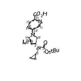 CC(C)(C)OC(=O)N(C1CC1)[C@@H]1CCN(c2cnc(C(=O)O)cn2)C1.[LiH]